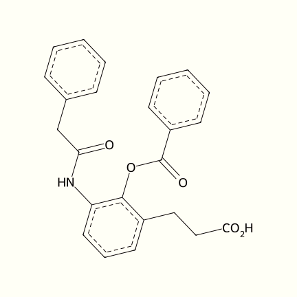 O=C(O)CCc1cccc(NC(=O)Cc2ccccc2)c1OC(=O)c1ccccc1